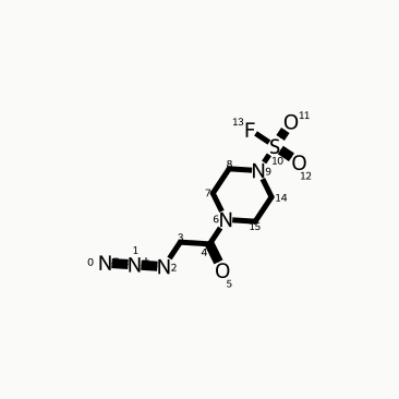 [N-]=[N+]=NCC(=O)N1CCN(S(=O)(=O)F)CC1